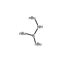 CCCCNB(CCCC)CCCC